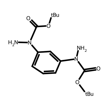 CC(C)(C)OC(=O)N(N)c1cccc(N(N)C(=O)OC(C)(C)C)c1